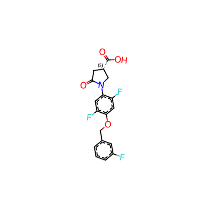 O=C(O)[C@H]1CC(=O)N(c2cc(F)c(OCc3cccc(F)c3)cc2F)C1